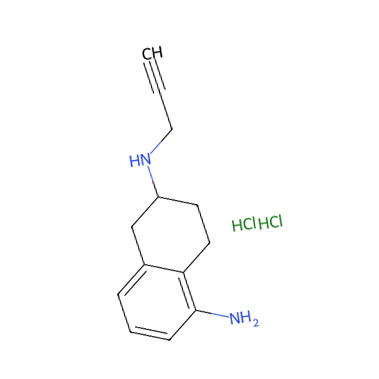 C#CCNC1CCc2c(N)cccc2C1.Cl.Cl